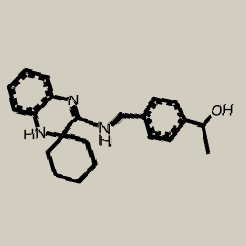 CC(O)c1ccc(CNC2=Nc3ccccc3NC23CCCCC3)cc1